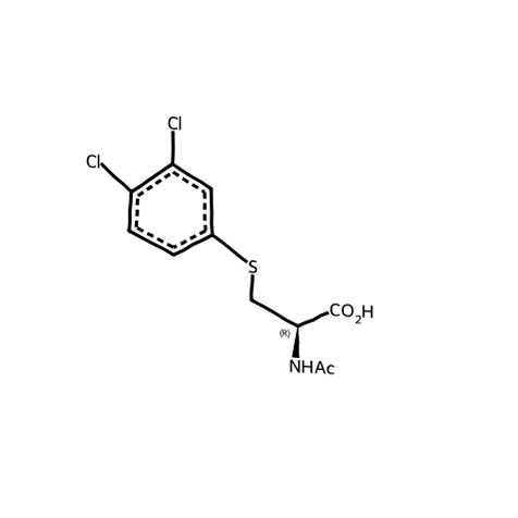 CC(=O)N[C@@H](CSc1ccc(Cl)c(Cl)c1)C(=O)O